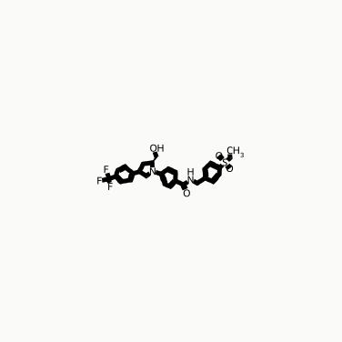 CCS(=O)(=O)c1ccc(CNC(=O)c2ccc(N3CC(c4ccc(C(F)(F)F)cc4)C[C@H]3CO)cc2)cc1